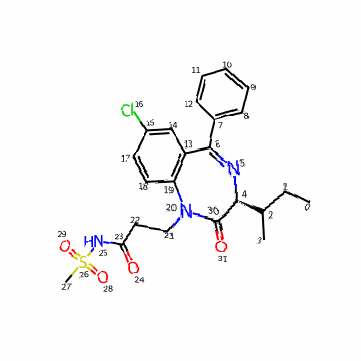 CCC(C)[C@@H]1N=C(c2ccccc2)c2cc(Cl)ccc2N(CCC(=O)NS(C)(=O)=O)C1=O